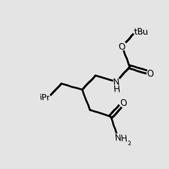 CC(C)CC(CNC(=O)OC(C)(C)C)CC(N)=O